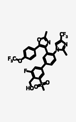 Cc1nc(-c2cc(-c3cc(F)c(CO)c(S(C)(=O)=O)c3)ccc2-n2cc(C(F)(F)F)nc2C)c(-c2ccc(OC(F)(F)F)cc2)o1